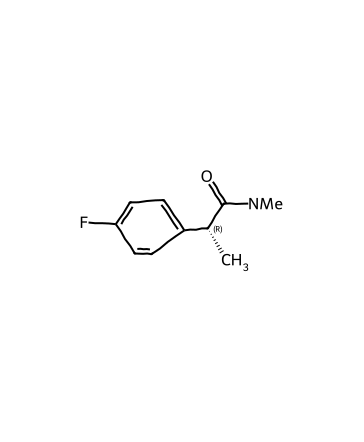 CNC(=O)[C@H](C)c1ccc(F)cc1